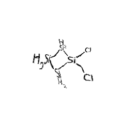 Cl[Si]1(Cl)[SiH2][SiH2][SiH2]1